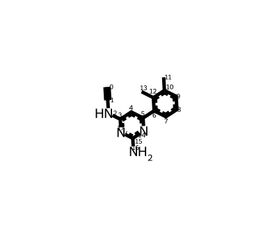 C#CNc1cc(-c2cccc(C)c2C)nc(N)n1